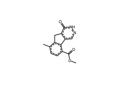 COC(=O)c1ccc(C)c2c1-c1cn[nH]c(=O)c1C2